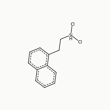 Cl[SiH](Cl)CCc1cccc2ccccc12